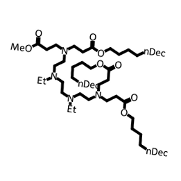 CCCCCCCCCCCCCCOC(=O)CCN(CCC(=O)OC)CCN(CC)CCN(CC)CCN(CCC(=O)OCCCCCCCCCCCCCC)CCC(=O)OCCCCCCCCCCCCCC